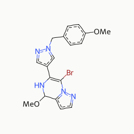 COc1ccc(Cn2cc(C3=C(Br)n4nccc4C(OC)N3)cn2)cc1